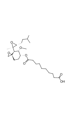 CO[C@@H]1[C@H](OC(=O)CCCCCCCCC(=O)O)CC[C@]2(CO2)[C@H]1[C@@]1(C)O[C@@H]1CCC(C)C